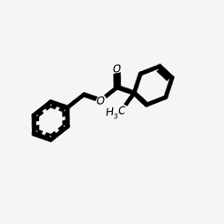 CC1(C(=O)OCc2ccccc2)CC=CCC1